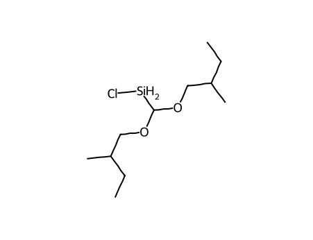 CCC(C)COC(OCC(C)CC)[SiH2]Cl